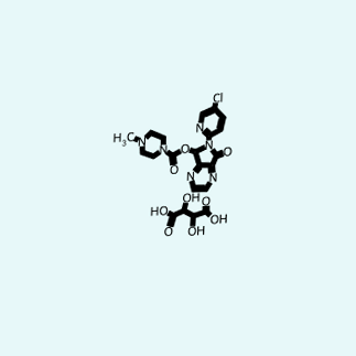 CN1CCN(C(=O)OC2c3nccnc3C(=O)N2c2ccc(Cl)cn2)CC1.O=C(O)C(O)C(O)C(=O)O